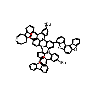 CC(C)(C)c1ccc(N2c3cc(-n4c5c(c6ccccc64)/C=C\C/C=C\C5)ccc3B3c4ccc(-n5c6ccccc6c6ccccc65)cc4N(c4ccc(C(C)(C)C)cc4-c4ccccc4)c4cc(-c5cccc6c5oc5ccc7oc8ccccc8c7c56)cc2c43)c(-c2ccccc2)c1